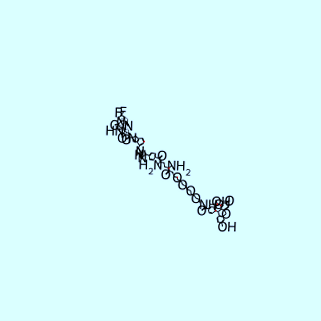 N#C[C@@H]1CC(F)(F)CN1C(=O)[C@@H]1C[C@@H](CC(=O)N2Cc3cccc(Cn4cc(-c5ccc(C(=O)C(N)CCC(N)C(=O)CCOCCOCCOCCOCCNC(=O)c6ccc(C7c8ccc(O)cc8OC8=CC(=O)C=CC87)c(C(=O)O)c6)cc5)nn4)c3C2)C(=O)N1